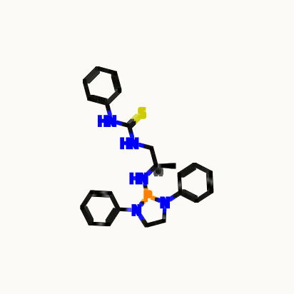 C[C@H](CNC(=S)Nc1ccccc1)NP1N(c2ccccc2)CCN1c1ccccc1